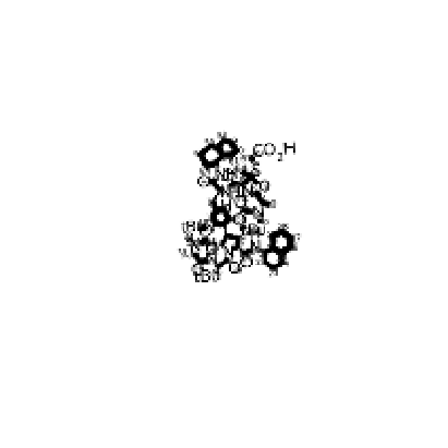 CC(C(=O)NC(C(=O)N[C@@H](Cc1ccc([C@H]2C[C@@H](C(=O)N[C@@H]3CCCc4ccccc43)N(C(=O)[C@@H](NC(=O)[C@H](C)N(C)C(=O)OC(C)(C)C)C(C)(C)C)C2)cc1)C(=O)N[C@@H]1CCCc2ccccc21)C(C)(C)SCC(=O)O)N(C)C(=O)OC(C)(C)C